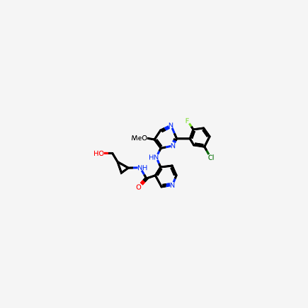 COc1cnc(-c2cc(Cl)ccc2F)nc1Nc1ccncc1C(=O)NC1CC1CO